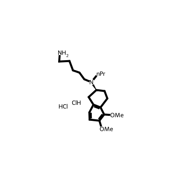 CCCN(CCCCCN)[C@H]1CCc2c(ccc(OC)c2OC)C1.Cl.Cl